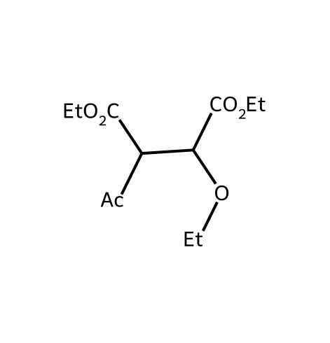 CCOC(=O)C(OCC)C(C(C)=O)C(=O)OCC